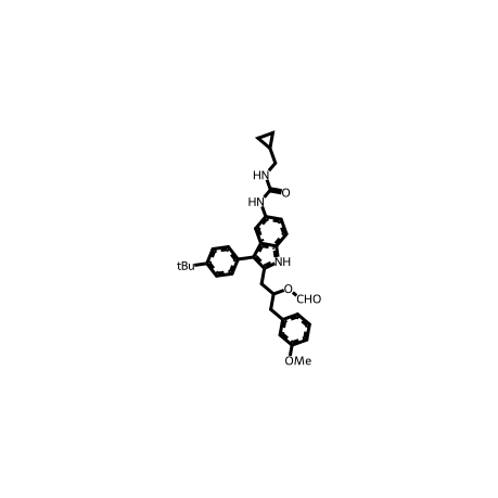 COc1cccc(CC(Cc2[nH]c3ccc(NC(=O)NCC4CC4)cc3c2-c2ccc(C(C)(C)C)cc2)OC=O)c1